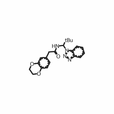 CC(C)(C)C(NC(=O)Cc1ccc2c(c1)OCCO2)n1nnc2ccccc21